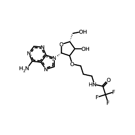 Nc1ncnc2c1ncn2[C@@H]1O[C@H](CO)C(O)C1OCCCNC(=O)C(F)(F)F